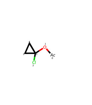 CC(=O)OC1(Cl)CC1